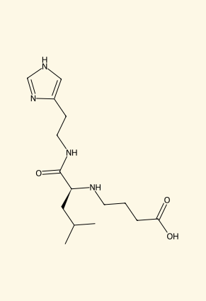 CC(C)C[C@H](NCCCC(=O)O)C(=O)NCCc1c[nH]cn1